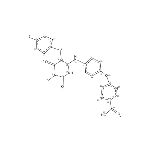 Cc1ccc(CN2C(=O)N(C)C(=O)NC2Nc2ccc(Oc3cnc(C(=O)O)cn3)cc2)cc1